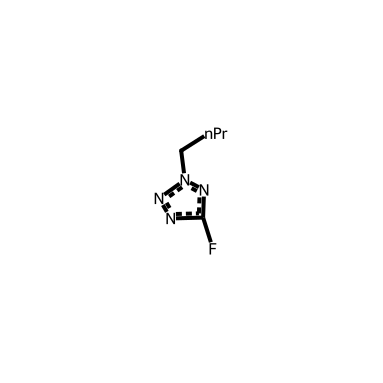 CCCCn1nnc(F)n1